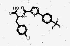 O=C(NC(Cc1ccc(Cl)cc1)C(=O)O)c1csc(-c2ccc(C(F)(F)F)cc2)n1